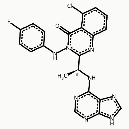 C[C@H](Nc1ncnc2[nH]cnc12)c1nc2cccc(Cl)c2c(=O)n1Nc1ccc(F)cc1